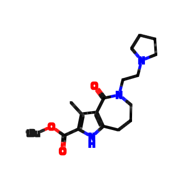 Cc1c(C(=O)OC(C)(C)C)[nH]c2c1C(=O)N(CCN1CCCC1)CCC2